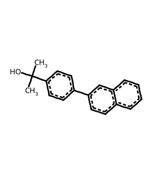 CC(C)(O)c1ccc(-c2ccc3ccccc3c2)cc1